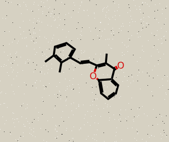 Cc1cccc(/C=C/c2oc3ccccc3c(=O)c2C)c1C